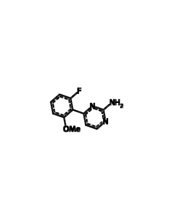 COc1cccc(F)c1-c1ccnc(N)n1